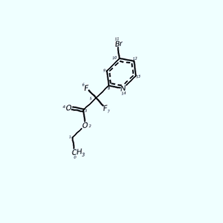 CCOC(=O)C(F)(F)c1cc(Br)ccn1